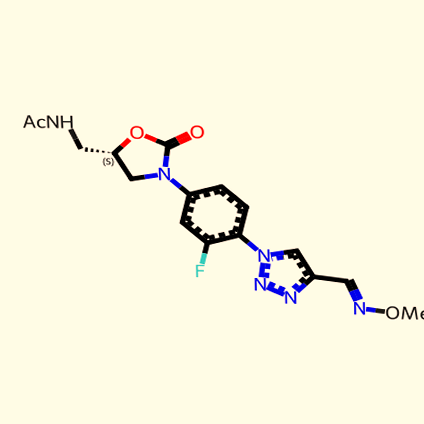 CON=Cc1cn(-c2ccc(N3C[C@H](CNC(C)=O)OC3=O)cc2F)nn1